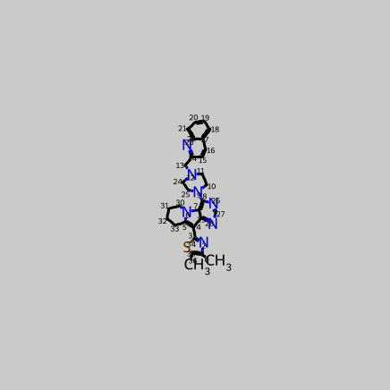 Cc1nc(-c2c3n(c4c(N5CCN(Cc6ccc7ccccc7n6)CC5)ncnc24)CCCC3)sc1C